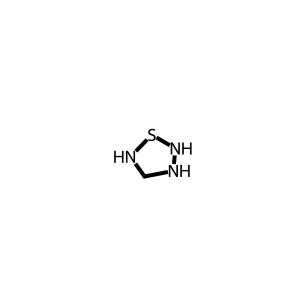 C1NNSN1